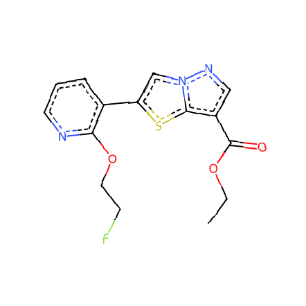 CCOC(=O)c1cnn2cc(-c3cccnc3OCCF)sc12